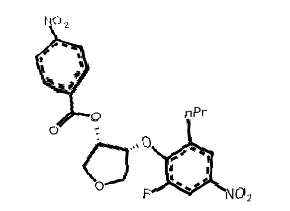 CCCc1cc([N+](=O)[O-])cc(F)c1O[C@@H]1COC[C@@H]1OC(=O)c1ccc([N+](=O)[O-])cc1